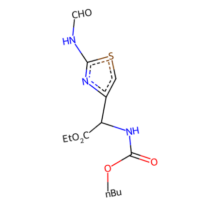 CCCCOC(=O)NC(C(=O)OCC)c1csc(NC=O)n1